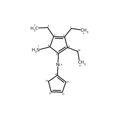 CCC1=C(CC)C([SiH3])[C]([Ni][C]2=CC=CC2)=C1CC